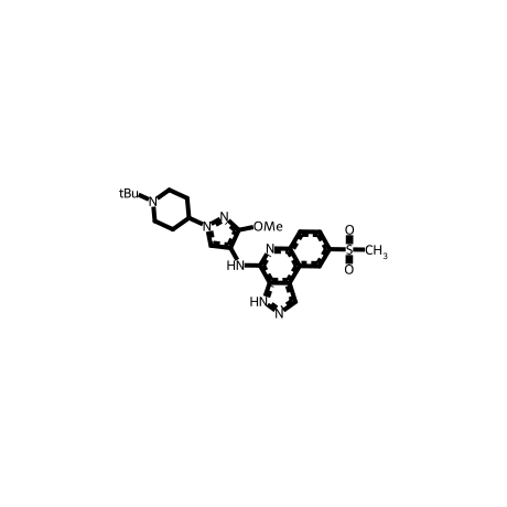 COc1nn(C2CCN(C(C)(C)C)CC2)cc1Nc1nc2ccc(S(C)(=O)=O)cc2c2cn[nH]c12